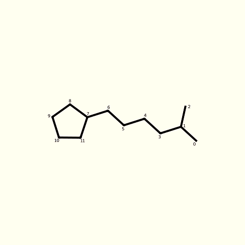 CC(C)CCCCC1CCCC1